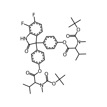 CC(C)C(C(=O)Oc1ccc(C2(c3ccc(OC(=O)C(C(C)C)N(C)C(=O)OC(C)(C)C)cc3)C(=O)Nc3c2ccc(F)c3F)cc1)N(C)C(=O)OC(C)(C)C